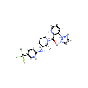 C[C@@H]1[C@@H](Nc2ccc(C(F)(F)F)cn2)CCCN1C(=O)c1ncccc1-n1nccn1